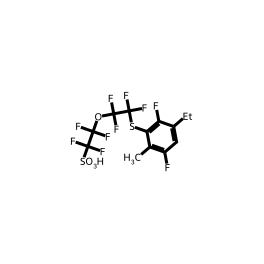 CCc1cc(F)c(C)c(SC(F)(F)C(F)(F)OC(F)(F)C(F)(F)S(=O)(=O)O)c1F